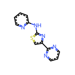 c1ccc(Nc2nc(-c3ncccn3)cs2)nc1